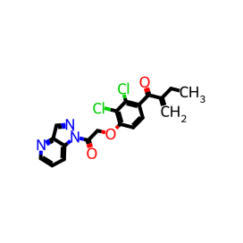 C=C(CC)C(=O)c1ccc(OCC(=O)n2ncc3ncccc32)c(Cl)c1Cl